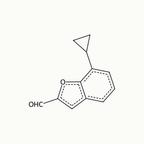 O=Cc1cc2cccc(C3CC3)c2o1